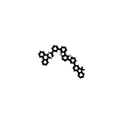 CC1(C)c2ccccc2-c2ccc(-c3ccc4oc5c(ccc6oc7c(-c8cccc(-c9cnc%10c%11ccccc%11c%11ccccc%11c%10n9)c8)cccc7c65)c4c3)cc21